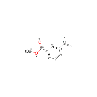 C=C(F)c1cccc(C(=O)OC(C)(C)C)c1